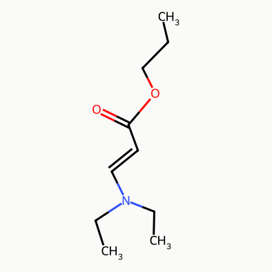 CCCOC(=O)C=CN(CC)CC